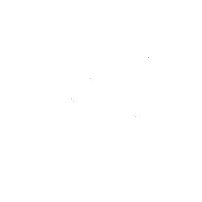 CCOc1c(OC)cc(NC(C)CCCN)c2ncccc12.O=C(O)/C=C/C(=O)O